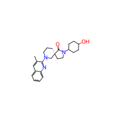 Cc1cc2ccccc2nc1N1CCC[C@]2(CCN(C3CCC(O)CC3)C2=O)C1